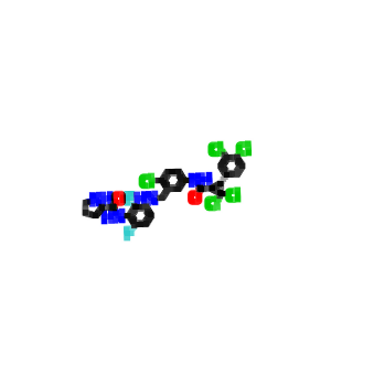 O=C(Nc1c(F)ccc(NCc2cc(NC(=O)[C@H]3[C@H](c4ccc(Cl)c(Cl)c4)C3(Cl)Cl)ccc2Cl)c1F)[C@H]1CCCN1